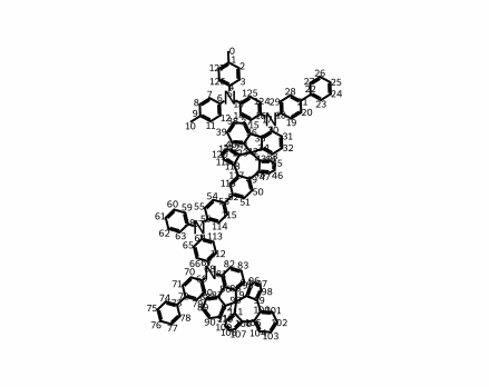 Cc1ccc(N(c2ccc(C)cc2)c2ccc(N(c3ccc(-c4ccccc4)cc3)c3cccc4c3-c3ccccc3C43c4ccccc4-c4ccc(-c5ccc(N(c6ccccc6)c6ccc(N(c7ccc(-c8ccccc8)cc7)c7cccc8c7-c7ccccc7C87c8ccccc8-c8ccccc8-c8ccccc87)cc6)cc5)cc4-c4ccccc43)cc2)cc1